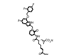 CN(C[C@H](CC/C=C/C(N)=O)C(=O)Nc1cccn(Cc2cc3cc(F)cc(OCc4ccc(F)cc4F)c3[nH]2)c1=O)C(=O)O